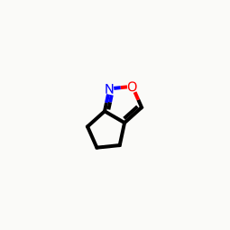 c1onc2c1CCC2